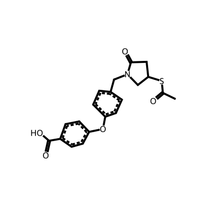 CC(=O)SC1CC(=O)N(Cc2ccc(Oc3ccc(C(=O)O)cc3)cc2)C1